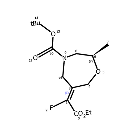 CCOC(=O)/C(F)=C1\CO[C@H](C)CN(C(=O)OC(C)(C)C)C1